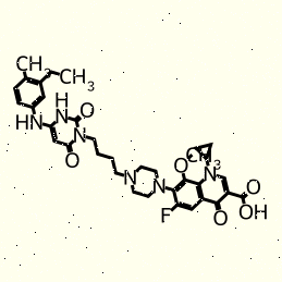 CCc1cc(Nc2cc(=O)n(CCCCN3CCN(c4c(F)cc5c(=O)c(C(=O)O)cn(C6CC6)c5c4OC)CC3)c(=O)[nH]2)ccc1C